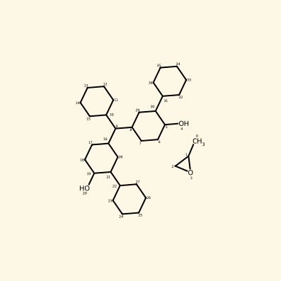 CC1CO1.OC1CCC(C(C2CCCCC2)C2CCC(O)C(C3CCCCC3)C2)CC1C1CCCCC1